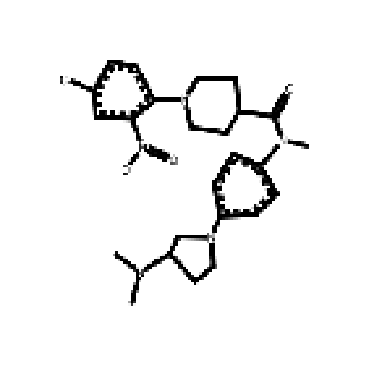 CN(C(=O)C1CCN(c2ccc(Cl)cc2[N+](=O)[O-])CC1)c1ccc(N2CCC(N(C)C)C2)cc1